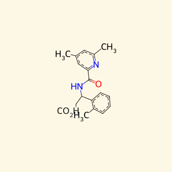 Cc1cc(C)nc(C(=O)NC(CC(=O)O)c2ccccc2C)c1